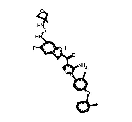 Cc1cc(Oc2ccccc2F)ccc1-n1ncc(C(=O)c2cc3cc(F)c(NSNC4(C)COC4)cc3[nH]2)c1N